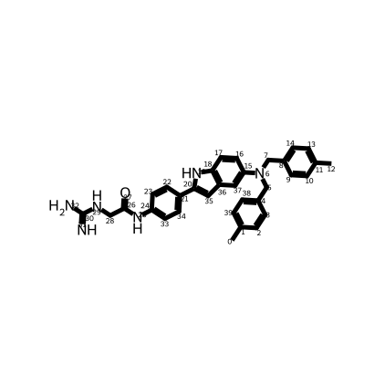 Cc1ccc(CN(Cc2ccc(C)cc2)c2ccc3[nH]c(-c4ccc(NC(=O)CNC(=N)N)cc4)cc3c2)cc1